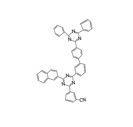 N#Cc1cccc(-c2nc(-c3cccc(-c4ccc(-c5nc(-c6ccccc6)nc(-c6ccccc6)n5)cc4)c3)nc(-c3ccc4ccccc4c3)n2)c1